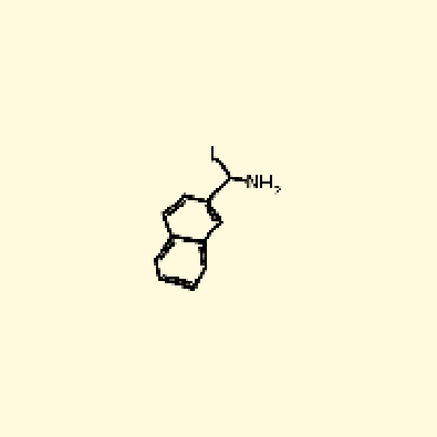 NC(I)c1ccc2ccccc2c1